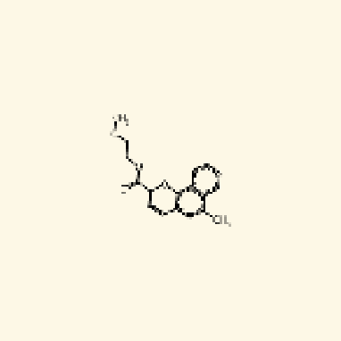 COCCOC(=O)C1C=Cc2cc(C)c3ccccc3c2O1